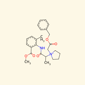 COC(=O)c1cccc(C)c1NC(=O)C(C)[N+]1(CC(=O)OCc2ccccc2)CCCC1